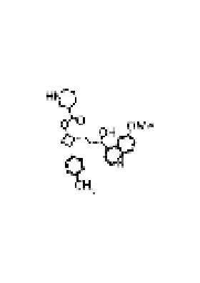 COc1ccc2nccc(C(O)CC[C@H]3C(OC(=O)C4CCCNC4)C[C@H]3c3ccc(C)cc3)c2c1